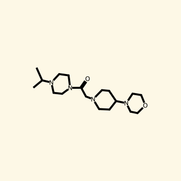 CC(C)N1CCN(C(=O)CN2CCC(N3CCOCC3)CC2)CC1